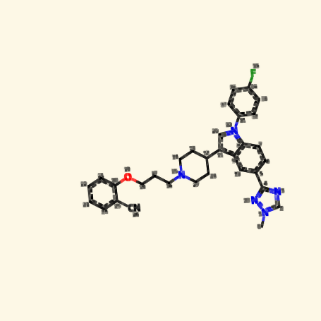 Cn1cnc(-c2ccc3c(c2)c(C2CCN(CCCOc4ccccc4C#N)CC2)cn3-c2ccc(F)cc2)n1